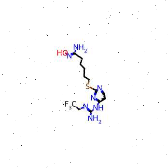 NC(CCCCCSc1nccc(NC(N)=NCC(F)(F)F)n1)=NO